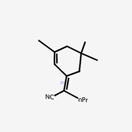 CCC/C(C#N)=C1/C=C(C)CC(C)(C)C1